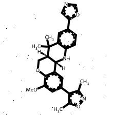 COc1cc(-c2c(C)noc2C)cc2c1OC[C@H]1[C@@H]2Nc2ccc(-c3cnco3)cc2C1(C)C